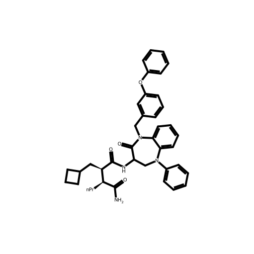 CCC[C@H](C(N)=O)[C@@H](CC1CCC1)C(=O)NC1CN(c2ccccc2)c2ccccc2N(Cc2cccc(Oc3ccccc3)c2)C1=O